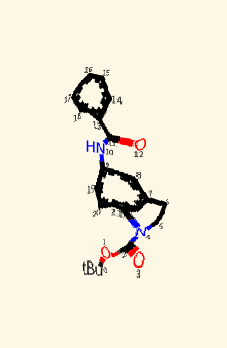 CC(C)(C)OC(=O)N1CCc2cc(NC(=O)c3ccccc3)ccc21